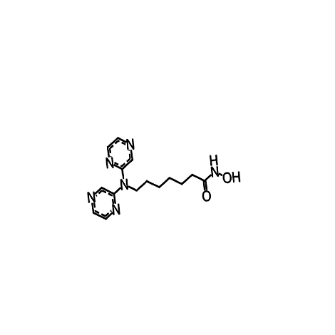 O=C(CCCCCCN(c1cnccn1)c1cnccn1)NO